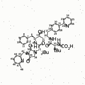 CCC(C)[C@@H](C(=O)N[C@@H](Cc1ccccc1)[C@@H](O)C[C@H](Cc1ccc(-c2ccccn2)cc1)NC(=O)[C@@H](NC(=O)O)C(C)(C)C)N1CC(=O)N(Cc2cccc(C)n2)C1=O